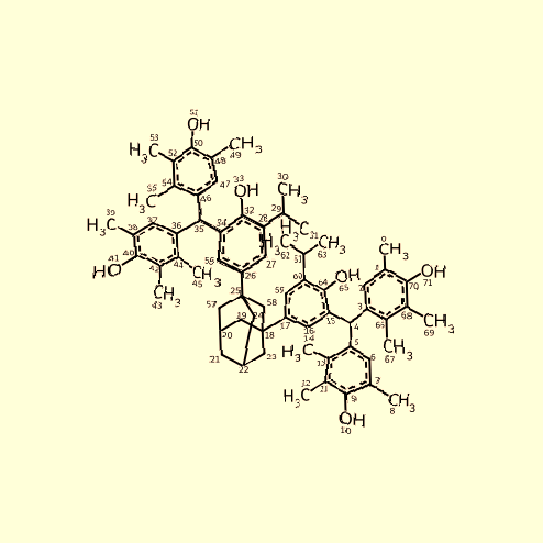 Cc1cc(C(c2cc(C)c(O)c(C)c2C)c2cc(C34CC5CC(C3)CC(c3cc(C(C)C)c(O)c(C(c6cc(C)c(O)c(C)c6C)c6cc(C)c(O)c(C)c6C)c3)(C5)C4)cc(C(C)C)c2O)c(C)c(C)c1O